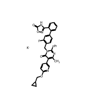 CCCc1nc(C)c(-c2ccc(OCC3CC3)nc2)c(=O)n1Cc1ccc(-c2ccccc2-c2noc(=O)[nH]2)cc1F.[K]